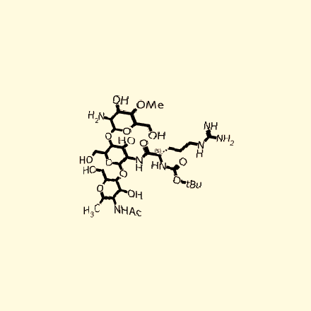 COC1C(CO)OC(OC2C(CO)OC(OC3C(CO)OC(C)C(NC(C)=O)C3O)C(NC(=O)[C@H](CCCNC(=N)N)NC(=O)OC(C)(C)C)C2O)C(N)C1O